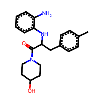 Cc1ccc(CC(Nc2ccccc2N)C(=O)N2CCC(O)CC2)cc1